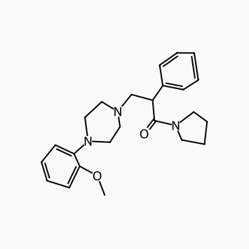 COc1ccccc1N1CCN(CC(C(=O)N2CCCC2)c2ccccc2)CC1